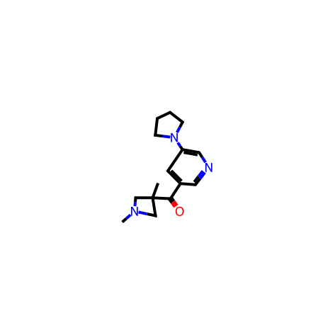 CN1CC(C)(C(=O)c2cncc(N3CCCC3)c2)C1